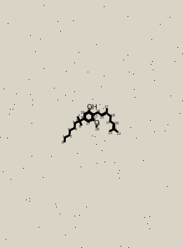 CCCCCCC(C)(C)c1cc(O)c(C/C=C(\C)CCC=C(C)C)c(OC)c1